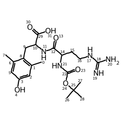 Cc1cc(O)cc(C)c1CC(NC(=O)C(CCNC(=N)N)NC(=O)OC(C)(C)C)C(=O)O